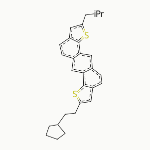 CC(C)Cc1cc2ccc3cc4c(ccc5cc(CCC6CCCC6)sc54)cc3c2s1